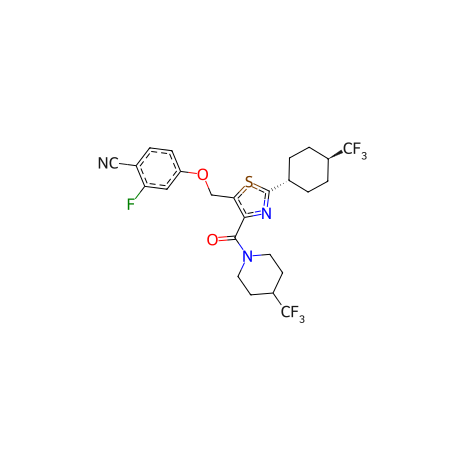 N#Cc1ccc(OCc2sc([C@H]3CC[C@H](C(F)(F)F)CC3)nc2C(=O)N2CCC(C(F)(F)F)CC2)cc1F